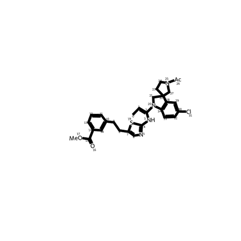 CC=C(Nc1ncc(CCc2cccc(C(=O)OC)c2)s1)N1CC2(CCN(C(C)=O)C2)c2cc(Cl)ccc21